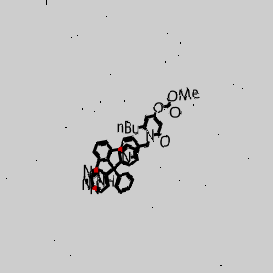 CCCCc1cc(OC(=O)OC)cc(=O)n1Cc1ccc(-c2cccc(-c3nnn[nH]3)c2C(c2ccccc2)(c2ccccc2)c2ccccc2)nc1